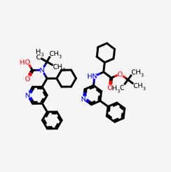 CC(C)(C)N(C(=O)O)C(c1cncc(-c2ccccc2)c1)C1CCCCC1.CC(C)(C)OC(=O)C(Nc1cncc(-c2ccccc2)c1)C1CCCCC1